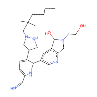 CCCCC(C)(C)CN1CC(C2=CC=C(C=N)NC2c2cnc3c(c2)C(O)N(CCO)C3)CN1